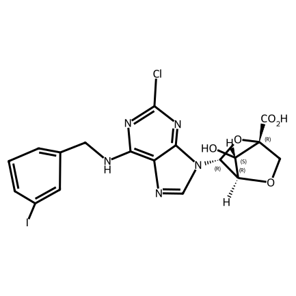 O=C(O)[C@]12CO[C@@H]([C@H](n3cnc4c(NCc5cccc(I)c5)nc(Cl)nc43)O1)[C@@H]2O